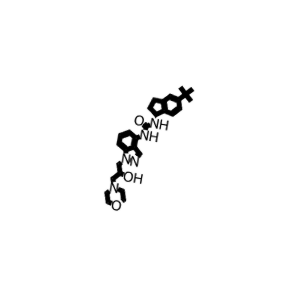 CC(C)(C)c1ccc2c(c1)CC[C@H]2NC(=O)Nc1cccc2c1cnn2CC(O)CN1CCOCC1